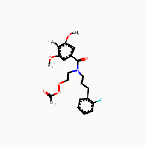 COc1cc(C(=O)N(CCCc2ccccc2F)CCOOC(C)=O)cc(OC)c1C